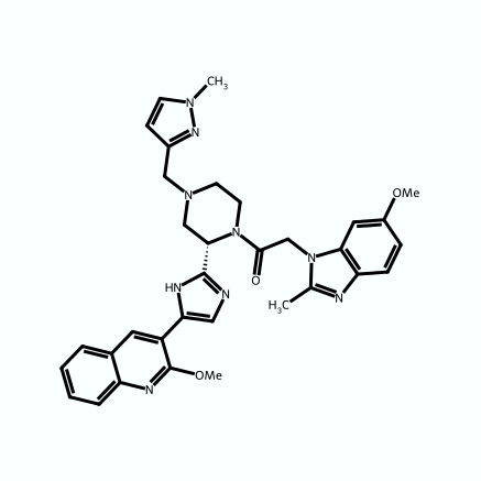 COc1ccc2nc(C)n(CC(=O)N3CCN(Cc4ccn(C)n4)C[C@H]3c3ncc(-c4cc5ccccc5nc4OC)[nH]3)c2c1